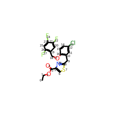 CCOC(=O)c1csc(Cc2cc(Cl)ccc2OCc2cc(F)c(F)cc2F)n1